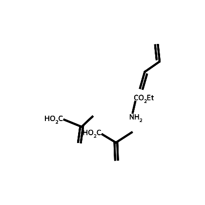 C=C(C)C(=O)O.C=C(C)C(=O)O.C=CC=C.CCOC(N)=O